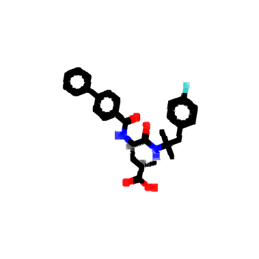 C[C@@H](C[C@H](NC(=O)c1ccc(-c2ccccc2)cc1)C(=O)NC(C)(C)Cc1ccc(F)cc1)C(=O)O